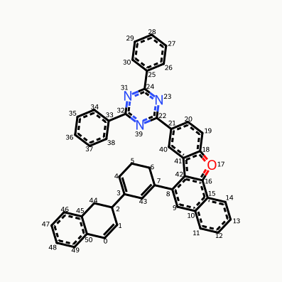 C1=CC(C2=CCCC(c3cc4ccccc4c4oc5ccc(-c6nc(-c7ccccc7)nc(-c7ccccc7)n6)cc5c34)=C2)Cc2ccccc21